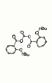 CCCCOc1ccccc1C(=O)OC(=O)OC(=O)c1ccccc1OCCCC